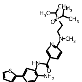 CC(C)P(=O)(CCN(C)c1ccc(C(=O)Nc2cc(-c3cccs3)ccc2N)cn1)C(C)C